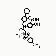 Cc1ccc(S(=O)(=O)N(C)CC(=O)N(Cc2ccc(C3CCCCC3)cc2)c2ccc(O)c(C(=O)O)c2)cc1